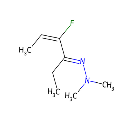 C/C=C(F)\C(CC)=N\N(C)C